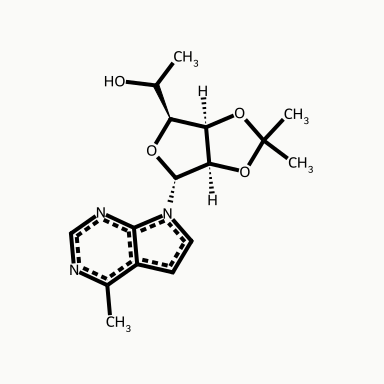 Cc1ncnc2c1ccn2[C@@H]1O[C@@H](C(C)O)[C@H]2OC(C)(C)O[C@H]21